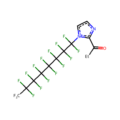 CCC(=O)c1nccn1C(F)(F)C(F)(F)C(F)(F)C(F)(F)C(F)(F)C(F)(F)C(F)(F)C(F)(F)F